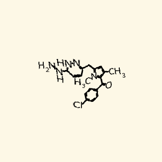 Cc1cc(CC2=NNC(NN)C=C2)n(C)c1C(=O)c1ccc(Cl)cc1